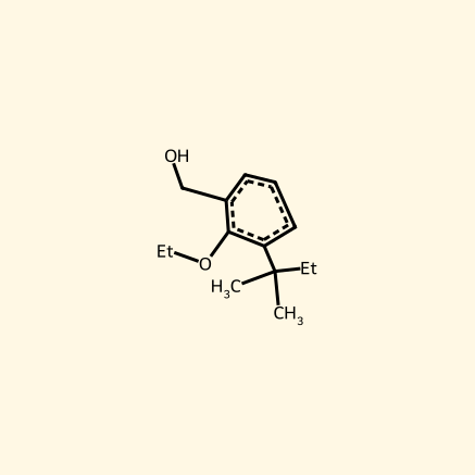 CCOc1c(CO)cccc1C(C)(C)CC